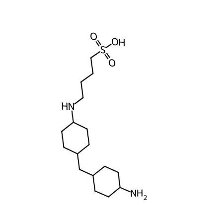 NC1CCC(CC2CCC(NCCCCS(=O)(=O)O)CC2)CC1